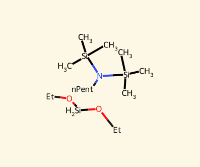 CCCCCN([Si](C)(C)C)[Si](C)(C)C.CCO[SiH2]OCC